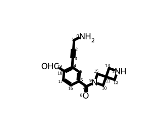 NCC#Cc1cc(C(=O)N2CC3(CNC3)C2)ccc1C=O